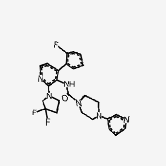 O=C(Nc1c(-c2ccccc2F)ccnc1N1CCC(F)(F)C1)N1CCN(c2cccnc2)CC1